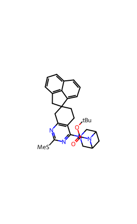 CSc1nc2c(c(N3CC4CC(C3)N4C(=O)OC(C)(C)C)n1)CCC1(C2)Cc2cccc3cccc1c23